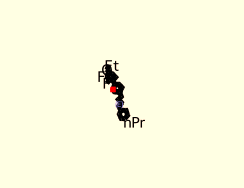 CCCC1CCC(/C=C/CCc2ccc(-c3ccc(OCC)c(F)c3F)cc2)CC1